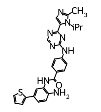 Cc1ncc(-c2ncnc(Nc3ccc(C(=O)Nc4cc(-c5cccs5)ccc4N)cc3)n2)n1C(C)C